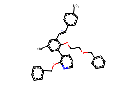 CC(C)(C)c1cc(/C=C/c2ccc([N+](=O)[O-])cc2)c(OCCOCc2ccccc2)c(-c2cccnc2OCc2ccccc2)c1